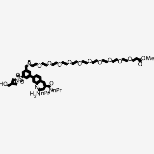 CCCN(CCC)C(=O)C1=Cc2ccc(-c3cc(CN(C)CCOCCOCCOCCOCCOCCOCCOCCOCCOCCOCCC(=O)OC)cc(S(=O)(=O)N4CC(CO)C4)c3)cc2N=C(N)C1